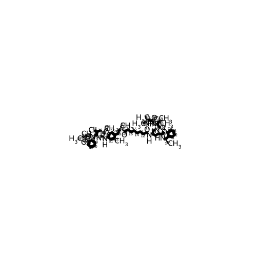 CC[C@@H](NC(=O)C1CC(NC(=O)CCCCCCC(=O)N(C)CCc2cc(OC)c(Nc3ncc(Cl)c(Nc4ccccc4S(=O)(=O)C(C)C)n3)cc2C)CN1C(=O)[C@@H](NC(=O)[C@H](C)NC)C(C)(C)C)c1ccccc1